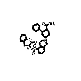 NC(=O)c1ccccc1-c1ccccc1.O=C(O)[C@H](Cc1ccccc1)NS(=O)(=O)c1cccc2cnccc12